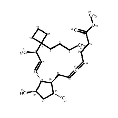 CCCCC1([C@H](O)/C=C/[C@@H]2[C@@H](CC=C=CCCC(=O)OC)[C@H](Cl)C[C@H]2O)CCC1